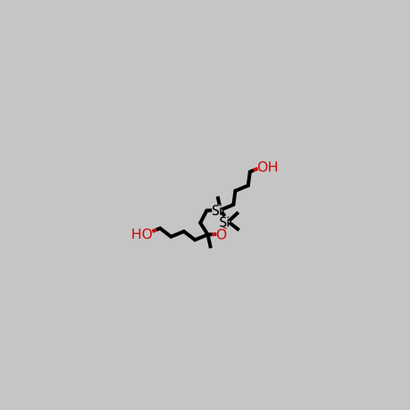 CC1(CCCCO)CC[Si](C)(CCCCO)[Si](C)(C)O1